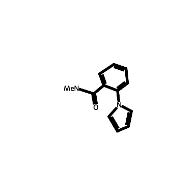 CNC(=O)c1ccccc1-n1cccc1